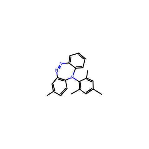 Cc1cc(C)c(N2c3ccccc3N=Nc3cc(C)ccc32)c(C)c1